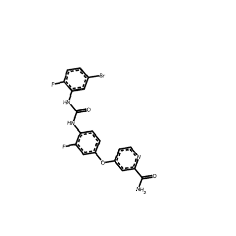 NC(=O)c1cc(Oc2ccc(NC(=O)Nc3cc(Br)ccc3F)c(F)c2)ccn1